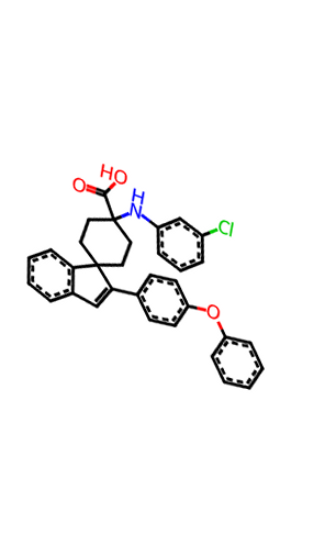 O=C(O)C1(Nc2cccc(Cl)c2)CCC2(CC1)C(c1ccc(Oc3ccccc3)cc1)=Cc1ccccc12